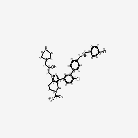 NC(=O)N1CCc2c(c(-c3ccc(Cl)c(-c4ccc(CNCc5ccc(Cl)cc5)cc4)c3)nn2C[C@H](O)CN2CCSCC2)C1